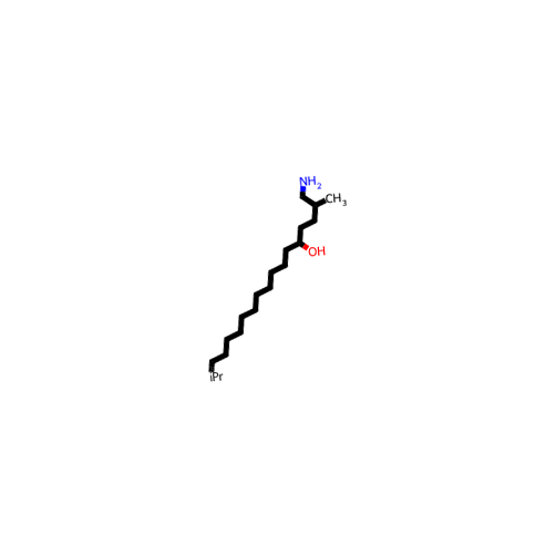 CC(C)CCCCCCCCCCCC(O)CCC(C)CN